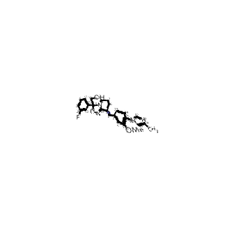 COc1cc(/C=C2\CCCN3C2=NOC3(CO)c2cccc(F)c2)ccc1-n1cnc(C)c1